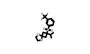 CC(C)C1(S(=O)(=O)c2cccc(C(F)(F)F)c2)CC2(C1)OCCO2